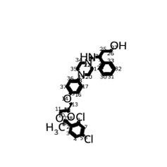 C[C@]1(c2ccc(Cl)cc2Cl)OC[C@@H](COc2ccc(N3CCN(NC(CCO)c4ccccc4)CC3)cc2)O1